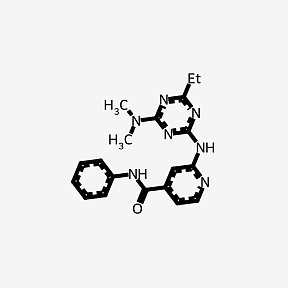 CCc1nc(Nc2cc(C(=O)Nc3ccccc3)ccn2)nc(N(C)C)n1